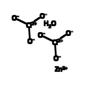 O.[O-][Cl+2]([O-])[O-].[O-][Cl+2]([O-])[O-].[Zn+2]